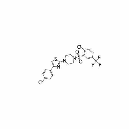 O=S(=O)(c1cc(C(F)(F)F)ccc1Cl)N1CCN(c2nc(-c3ccc(Cl)cc3)cs2)CC1